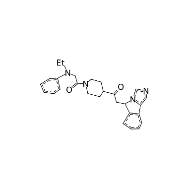 CCN(CC(=O)N1CCC(C(=O)CC2c3ccccc3-c3cncn32)CC1)c1ccccc1